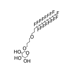 O[C@@H]1[C@@H](O)[C@H](OCCCCOCCCC(F)(F)C(F)(F)C(F)(F)C(F)(F)C(F)(F)C(F)(F)C(F)(F)C(F)(F)F)OC[C@@H]1O